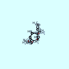 C=CS(=O)(=O)N1CCC2(CCN(C(C(=O)N[C@H]3Cc4cc(O)cc(c4)-c4ccc5c(c4)c(c(-c4cccnc4[C@H](C)OC)n5CC)CC(C)(C)COC(=O)[C@@H]4CCCN(N4)C3=O)C(C)C)C2=O)CC1